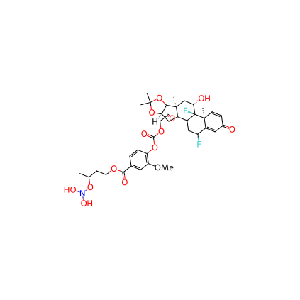 COc1cc(C(=O)OCCC(C)ON(O)O)ccc1OC(=O)OCC(=O)[C@@]12OC(C)(C)O[C@@H]1CC1C3C[C@H](F)C4=CC(=O)C=C[C@]4(C)[C@@]3(F)[C@@H](O)C[C@@]12C